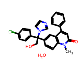 Cn1c(=O)cc(-c2ccccc2)c2cc(C(CO)(c3ccc(Cl)cc3)n3ccnc3)ccc21.O